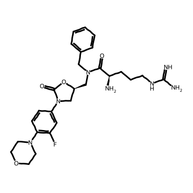 N=C(N)NCCC[C@@H](N)C(=O)N(Cc1ccccc1)C[C@H]1CN(c2ccc(N3CCOCC3)c(F)c2)C(=O)O1